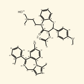 COc1ccc([C@@H]2Sc3ccccc3N(CCN(C)C)C(=O)[C@@H]2OC(C)=O)cc1.Cc1ncc2n1-c1ccc(Cl)cc1C(c1ccccc1F)=NC2.Cl